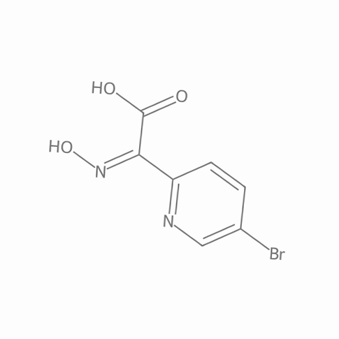 O=C(O)C(=NO)c1ccc(Br)cn1